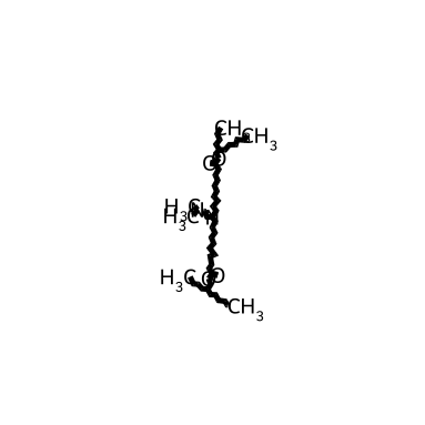 CCCCCCC(CCCC)COC(=O)CCCCCCCCCCN(CCCCCCCCCC(=O)OCC(CCCC)CCCCCC)CCN(C)C